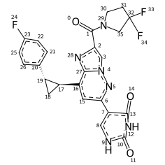 O=C(c1cn2nc(-c3c[nH]c(=O)[nH]c3=O)cc([C@H]3C[C@@H]3c3ccc(F)cc3)c2n1)N1CCC(F)(F)C1